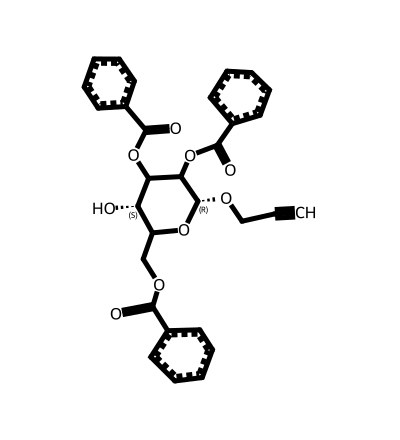 C#CCO[C@@H]1OC(COC(=O)c2ccccc2)[C@H](O)C(OC(=O)c2ccccc2)C1OC(=O)c1ccccc1